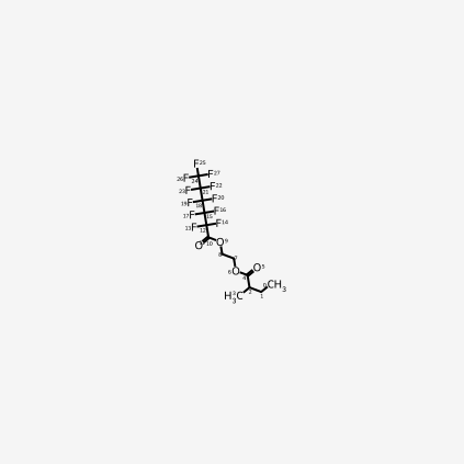 CCC(C)C(=O)OCCOC(=O)C(F)(F)C(F)(F)C(F)(F)C(F)(F)C(F)(F)F